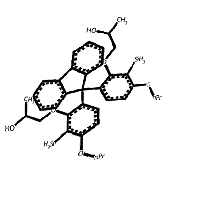 CCCOc1ccc(C2(c3ccc(OCCC)c([SiH3])c3OCC(C)O)c3ccccc3-c3ccccc32)c(OCC(C)O)c1[SiH3]